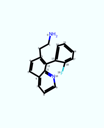 NCCc1ccc2cccnc2c1-c1ccccc1F